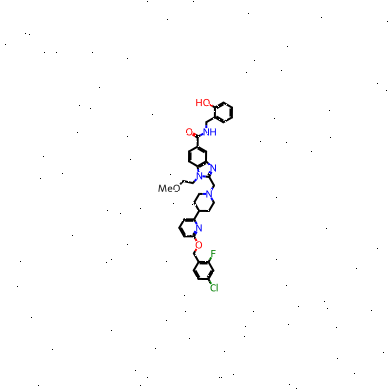 COCCn1c(CN2CCC(c3cccc(OCc4ccc(Cl)cc4F)n3)CC2)nc2cc(C(=O)NCc3ccccc3O)ccc21